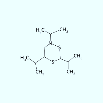 CC(C)C1CN(C(C)C)SC(C(C)C)S1